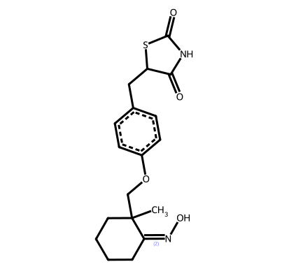 CC1(COc2ccc(CC3SC(=O)NC3=O)cc2)CCCC/C1=N/O